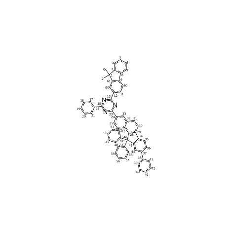 CC1(C)c2ccccc2-c2ccc(-c3nc(-c4ccccc4)nc(-c4ccc5c6c(ccc5c4)-c4ccc(-c5ccccc5)cc4C6(c4ccccc4)c4ccccc4)n3)cc21